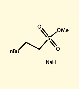 CCCCCCS(=O)(=O)OC.[NaH]